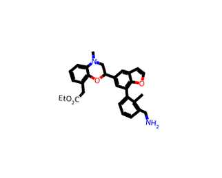 CCOC(=O)Cc1cccc2c1OC(c1cc(-c3cccc(CN)c3C)c3occc3c1)CN2C